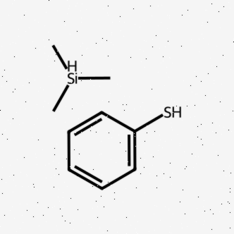 C[SiH](C)C.Sc1ccccc1